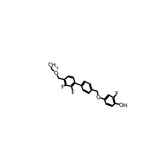 CCOCc1ccc(-c2ccc(COc3ccc(O)c(F)c3)cc2)c(F)c1F